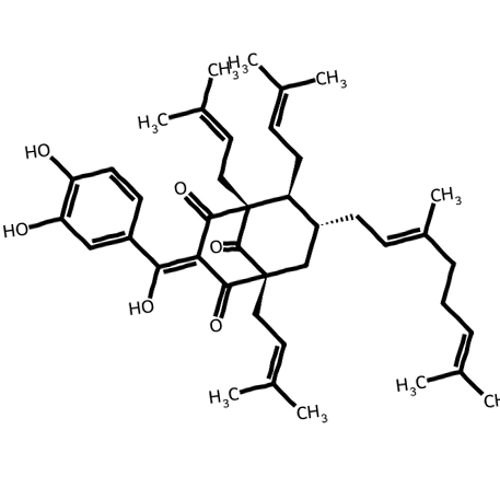 CC(C)=CCC/C(C)=C/C[C@@H]1C[C@]2(CC=C(C)C)C(=O)C(=C(O)c3ccc(O)c(O)c3)C(=O)[C@@](CC=C(C)C)(C2=O)[C@H]1CC=C(C)C